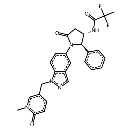 Cn1cc(Cn2ncc3cc(N4C(=O)C[C@H](NC(=O)C(C)(F)F)[C@H]4c4ccccc4)ccc32)ccc1=O